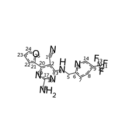 N#Cc1c(NCc2ccc(C(F)(F)F)cn2)nc(N)nc1-c1ccco1